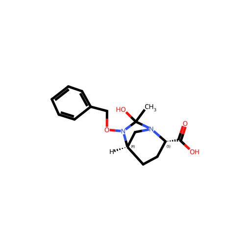 CC1(O)N2C[C@@H](CC[C@H]2C(=O)O)N1OCc1ccccc1